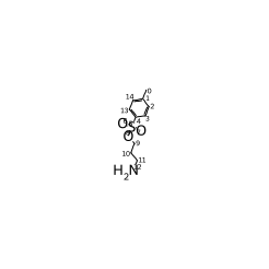 Cc1ccc(S(=O)(=O)OCCCN)cc1